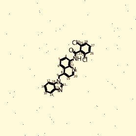 O=C(Nc1cccc2c(Cn3cnc4ccccc43)ccnc12)c1c(Cl)cccc1Cl